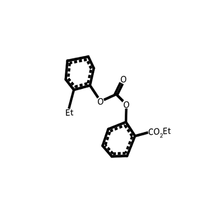 CCOC(=O)c1ccccc1OC(=O)Oc1ccccc1CC